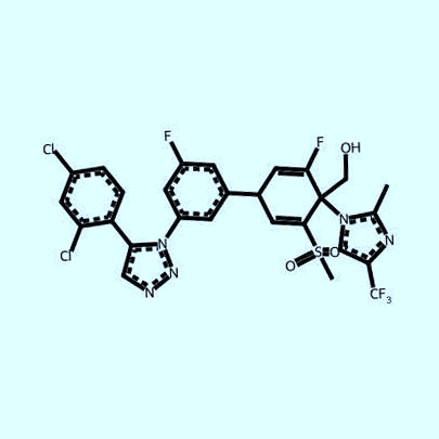 Cc1nc(C(F)(F)F)cn1C1(CO)C(F)=CC(c2cc(F)cc(-n3nncc3-c3ccc(Cl)cc3Cl)c2)C=C1S(C)(=O)=O